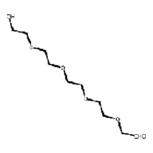 O=CCOCCOCCOCCOCCO